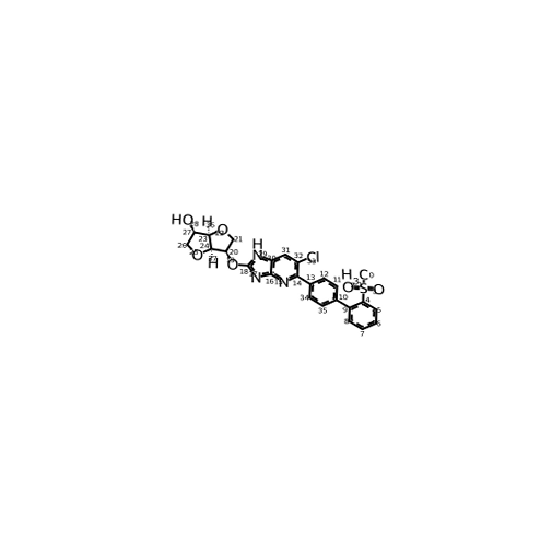 CS(=O)(=O)c1ccccc1-c1ccc(-c2nc3nc(O[C@@H]4CO[C@H]5[C@@H]4OC[C@H]5O)[nH]c3cc2Cl)cc1